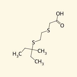 CCC(C)(CC)SCCSCC(=O)O